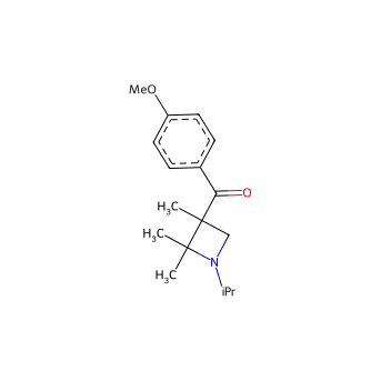 COc1ccc(C(=O)C2(C)CN(C(C)C)C2(C)C)cc1